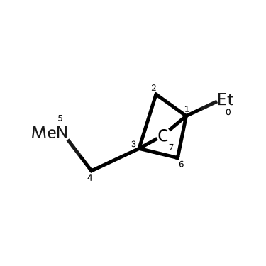 CCC12CC(CNC)(C1)C2